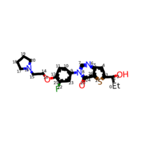 CCC(O)c1cc2ncn(-c3ccc(OCCN4CCCC4)c(F)c3)c(=O)c2s1